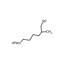 CCCCCCCCCC(C)CS